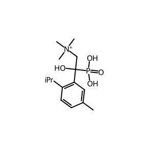 Cc1ccc(C(C)C)c(C(O)(C[N+](C)(C)C)P(=O)(O)O)c1